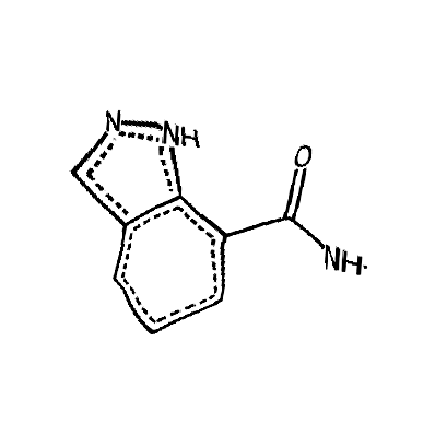 [NH]C(=O)c1cccc2cn[nH]c12